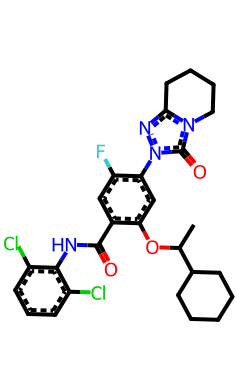 CC(Oc1cc(-n2nc3n(c2=O)CCCC3)c(F)cc1C(=O)Nc1c(Cl)cccc1Cl)C1CCCCC1